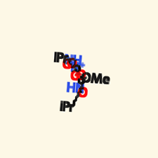 COc1cc(CNC(=O)CCCC/C=C/C(C)C)ccc1OC(=O)c1ccc[n+](COC(=O)NC(C)C)c1